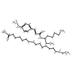 CCCCCC(CC)OC(=O)C=Cc1ccc(OC)cc1.CCCCCCCCCCCCCCCCCC(=O)O